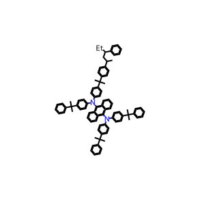 CCC(CC(C)c1ccc(C(C)(C)c2ccc(N(c3ccc(C(C)(C)c4ccccc4)cc3)c3c4ccccc4c(N(c4ccc(C(C)(C)c5ccccc5)cc4)c4ccc(C(C)(C)c5ccccc5)cc4)c4ccccc34)cc2)cc1)c1ccccc1